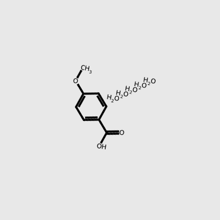 COc1ccc(C(=O)O)cc1.O.O.O.O.O